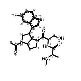 CNC(C)C(=O)NC(CO)C(=O)N1CCC2C1C(c1c[nH]c3ccc(F)cc13)CN2C(C)=O